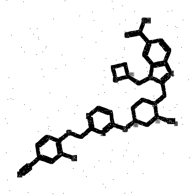 C[C@H]1C[C@@H](Oc2ccnc(COc3ccc(C#N)cc3Cl)n2)CCN1Cc1nc2ccc(C(=O)O)cc2n1C[C@@H]1CCO1